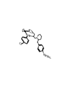 CC(=O)Nc1ccc(CC2CCCCN2CC2COC(=O)N2c2ccc(Cl)cc2)cc1